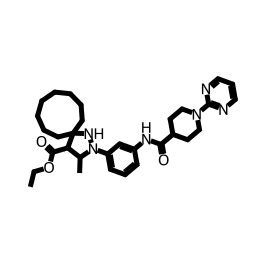 CCOC(=O)C1C(C)N(c2cccc(NC(=O)C3CCN(c4ncccn4)CC3)c2)NC12CCCCCCCC2